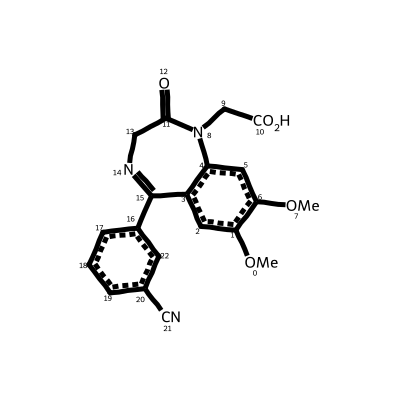 COc1cc2c(cc1OC)N(CC(=O)O)C(=O)CN=C2c1cccc(C#N)c1